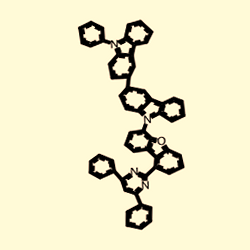 c1ccc(-c2cc(-c3ccccc3)nc(-c3cccc4oc5c(-n6c7ccccc7c7cc(-c8ccc9c(c8)c8ccccc8n9-c8ccccc8)ccc76)cccc5c34)n2)cc1